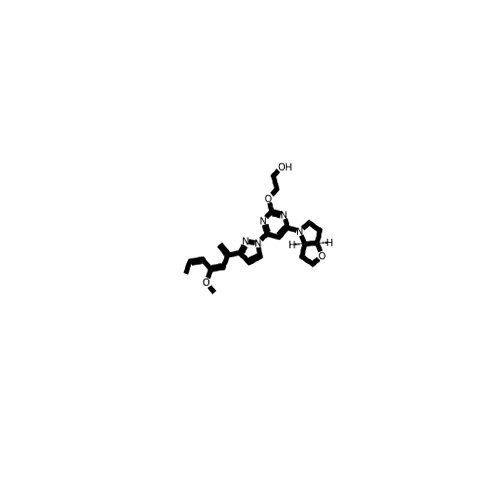 C=C(/C=C(\C=C/C)OC)c1ccn(-c2cc(N3CC[C@H]4OCC[C@H]43)nc(OCCO)n2)n1